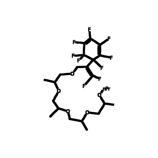 CCCOC(C)COC(C)COC(C)COC(C)COCC(=C(F)F)C1(F)C(F)=C(F)C(F)=C(F)C1(F)F